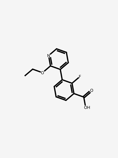 CCOc1ncccc1-c1cccc(C(=O)O)c1F